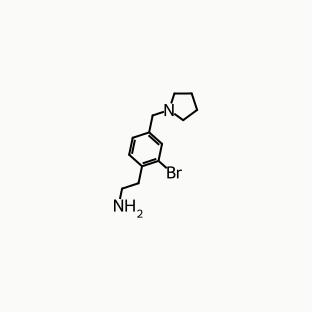 NCCc1ccc(CN2CCCC2)cc1Br